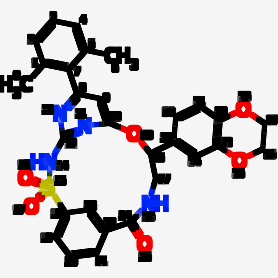 Cc1cccc(C)c1-c1cc2nc(n1)NS(=O)(=O)c1cccc(c1)C(=O)NCC(c1ccc3c(c1)OCCO3)O2